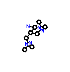 N#Cc1ccccc1-c1ccc(-c2cccc(-c3nc(-c4ccccc4)c4ccccc4n3)c2)cc1-c1cccc(-c2nc(-c3ccccc3)c3ccccc3n2)c1